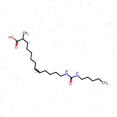 CCCCCNC(=O)NCCCC/C=C\CCCCCC(C)C(=O)O